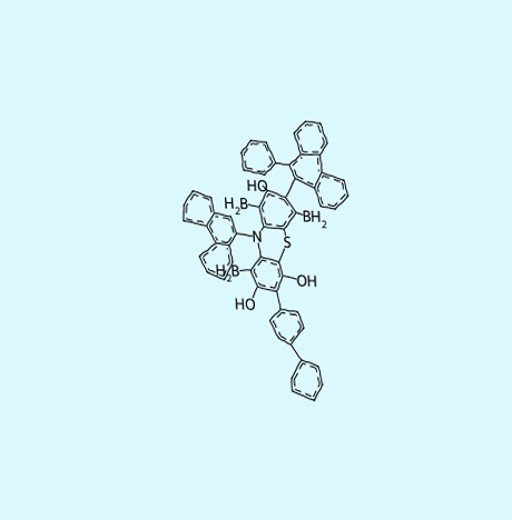 Bc1c2c(c(B)c(O)c1-c1c(-c3ccccc3)c3ccccc3c3ccccc13)N(c1cc3ccccc3c3ccccc13)c1c(B)c(O)c(-c3ccc(-c4ccccc4)cc3)c(O)c1S2